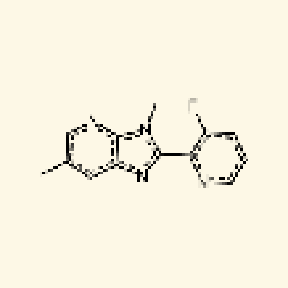 Cc1cnc2c(c1)nc(-c1ncccc1F)n2C